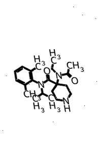 CCN(C(C)=O)C1(C(=O)N(c2c(C)cccc2C)C(C)C)CCNCC1